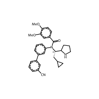 COc1ccc(C(=O)N(c2cccc(-c3cccc(C#N)c3)c2)[C@@H](CC2CC2)C2CCCN2)cc1OC